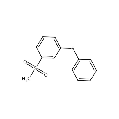 CS(=O)(=O)c1[c]ccc(Sc2ccccc2)c1